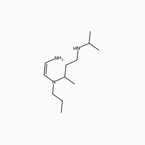 CCCN(/C=C\N)C(C)CCNC(C)C